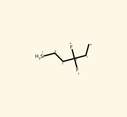 CCC(F)(F)CC[SiH3]